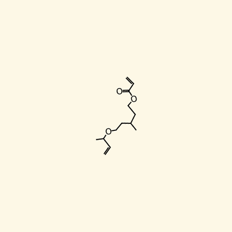 C=CC(=O)OCCC(C)CCOC(C)C=C